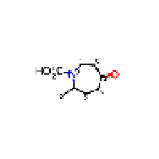 CC1CCC(=O)CCN1C(=O)O